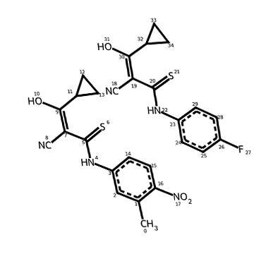 Cc1cc(NC(=S)/C(C#N)=C(/O)C2CC2)ccc1[N+](=O)[O-].N#C/C(C(=S)Nc1ccc(F)cc1)=C(\O)C1CC1